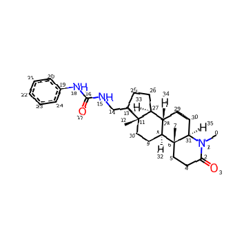 CN1C(=O)CC[C@]2(C)[C@H]3CC[C@]4(C)C(CNC(=O)Nc5ccccc5)CC[C@H]4[C@@H]3CC[C@@H]12